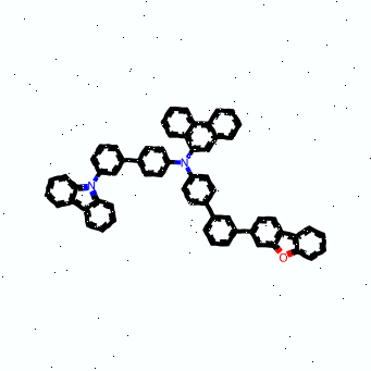 c1cc(-c2ccc(N(c3ccc(-c4cccc(-n5c6ccccc6c6ccccc65)c4)cc3)c3cc4ccccc4c4ccccc34)cc2)cc(-c2ccc3c(c2)oc2ccccc23)c1